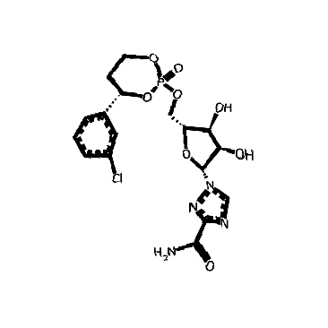 NC(=O)c1ncn([C@@H]2O[C@H](COP3(=O)OCC[C@@H](c4cccc(Cl)c4)O3)[C@@H](O)[C@H]2O)n1